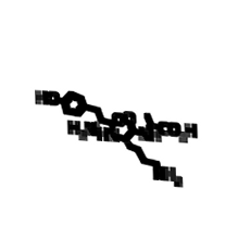 C[C@H](NC(=O)[C@@H](CCCCN)NC(=O)[C@H](N)Cc1ccc(O)cc1)C(=O)O